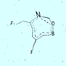 Fc1bonc1F